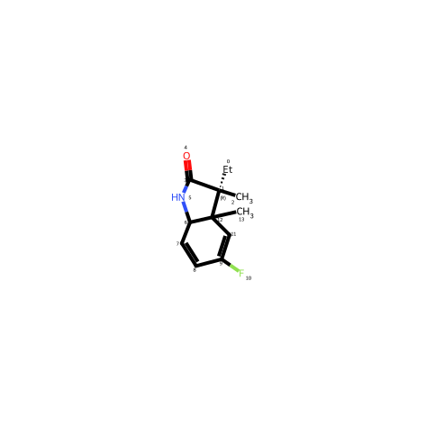 CC[C@@]1(C)C(=O)NC2C=CC(F)=CC21C